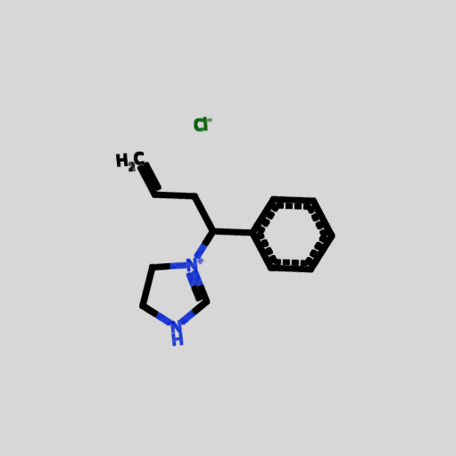 C=CCC(c1ccccc1)[N+]1=CNCC1.[Cl-]